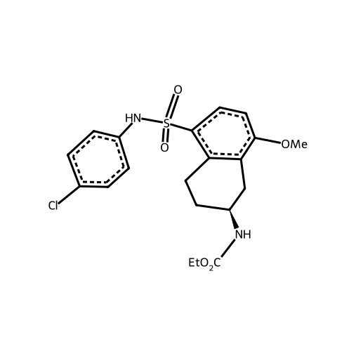 CCOC(=O)N[C@H]1CCc2c(S(=O)(=O)Nc3ccc(Cl)cc3)ccc(OC)c2C1